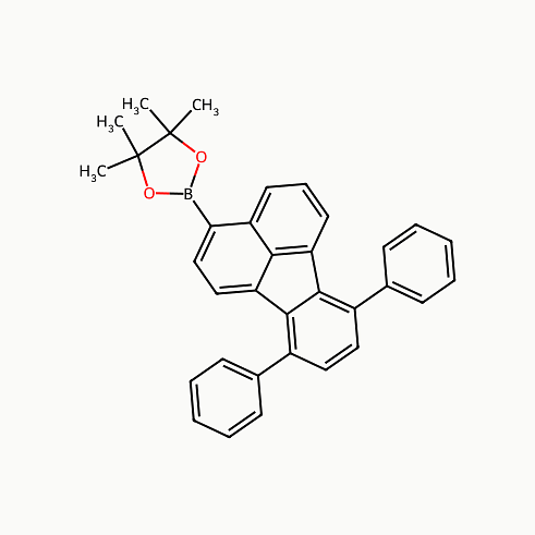 CC1(C)OB(c2ccc3c4c(cccc24)-c2c(-c4ccccc4)ccc(-c4ccccc4)c2-3)OC1(C)C